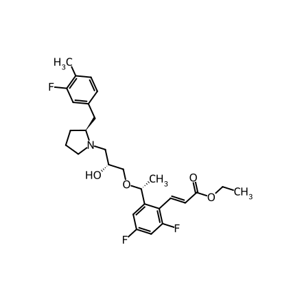 CCOC(=O)/C=C/c1c(F)cc(F)cc1[C@@H](C)OC[C@H](O)CN1CCC[C@H]1Cc1ccc(C)c(F)c1